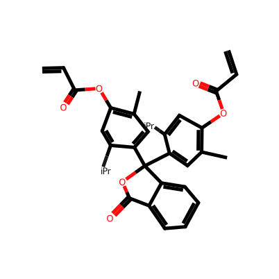 C=CC(=O)Oc1cc(C(C)C)c(C2(c3cc(C)c(OC(=O)C=C)cc3C(C)C)OC(=O)c3ccccc32)cc1C